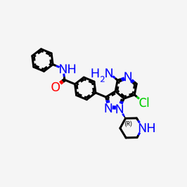 Nc1ncc(Cl)c2c1c(-c1ccc(C(=O)Nc3ccccc3)cc1)nn2[C@@H]1CCCNC1